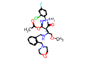 COC/C(NCc1ccccc1CN1CCOCC1)=C1\C(=O)[N+](C)(c2ccc(F)cc2Cl)N=C1OC(C)=O